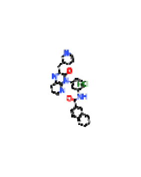 Cl.O=C(Nc1cccc(-n2c(=O)c(Cc3cccnc3)nc3cccnc32)c1)c1ccc2ccccc2c1